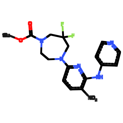 CC(C)(C)OC(=O)N1CCN(c2ccc([N+](=O)[O-])c(Nc3ccncc3)n2)CC(F)(F)C1